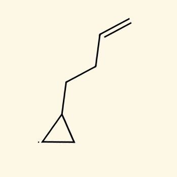 C=CCCC1[CH]C1